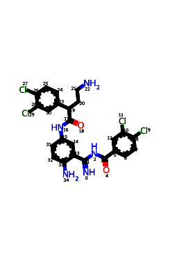 N=C(NC(=O)c1ccc(Cl)c(Cl)c1)c1cc(NC(=O)C(CCN)c2ccc(Cl)c(Cl)c2)ccc1N